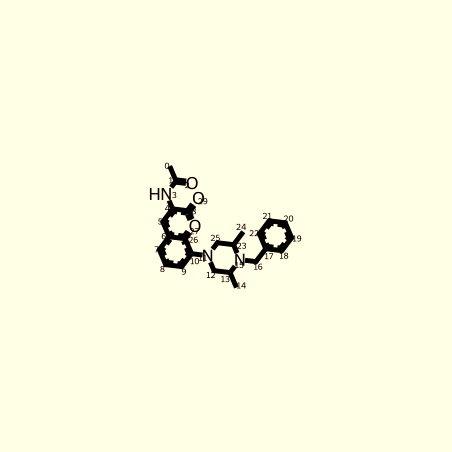 CC(=O)Nc1cc2cccc(N3CC(C)N(Cc4ccccc4)C(C)C3)c2oc1=O